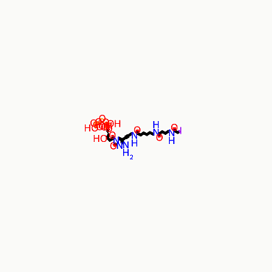 Nc1nc(=O)n([C@H]2CC(O)[C@@H](COP(=O)(O)OP(=O)(O)OP(=O)(O)O)O2)cc1C#CCNC(=O)CCCCCNC(=O)CCCNC(=O)CI